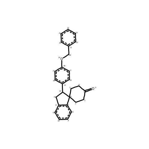 O=C1CCC2(CC1)c1ccccc1CC2c1ccc(OCc2ccccc2)cc1